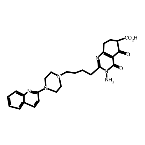 Nn1c(CCCCN2CCN(c3ccc4ccccc4n3)CC2)nc2c(c1=O)C(=O)C(C(=O)O)CC2